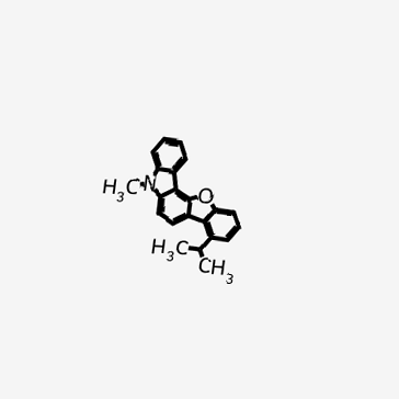 CC(C)c1cccc2oc3c(ccc4c3c3ccccc3n4C)c12